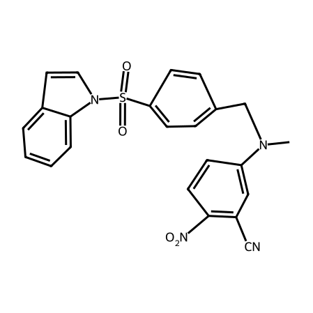 CN(Cc1ccc(S(=O)(=O)n2ccc3ccccc32)cc1)c1ccc([N+](=O)[O-])c(C#N)c1